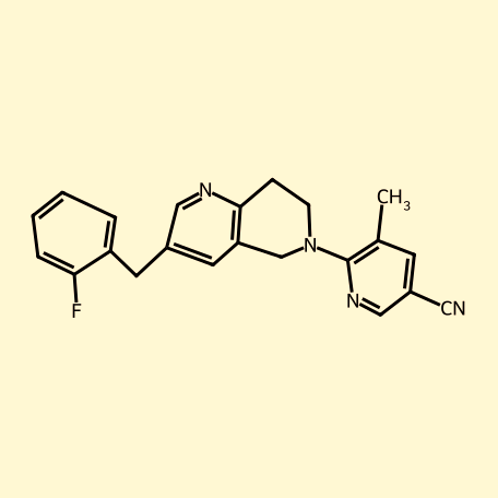 Cc1cc(C#N)cnc1N1CCc2ncc(Cc3ccccc3F)cc2C1